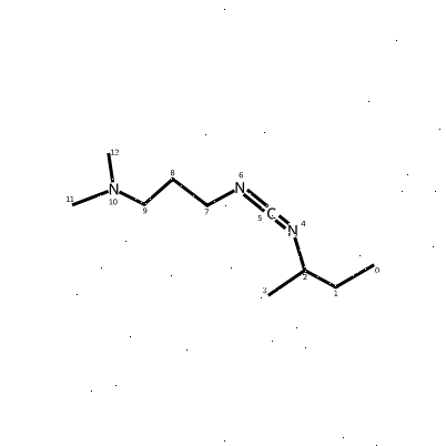 CCC(C)N=C=NCCCN(C)C